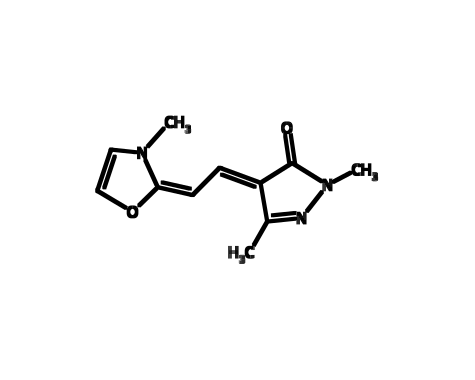 CC1=NN(C)C(=O)/C1=C/C=C1/OC=CN1C